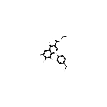 CCOC(=O)c1cn(-c2ccc(CBr)cc2)c2c(Cl)c(F)c(F)cc2c1=O